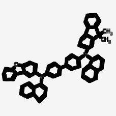 CC1(C)c2ccccc2-c2ccc(N(c3ccc(-c4ccc(N(c5ccc6oc7ccccc7c6c5)c5cccc6ccccc56)cc4)cc3)c3cccc4ccccc34)cc21